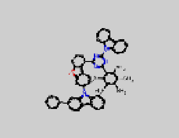 Bc1c(B)c(B)c(-c2nc(-c3cccc4oc5cc(-n6c7ccccc7c7ccc(-c8ccccc8)cc76)ccc5c34)nc(-n3c4ccccc4c4ccccc43)n2)c(B)c1B